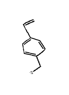 C=Cc1ccc(C[S])cc1